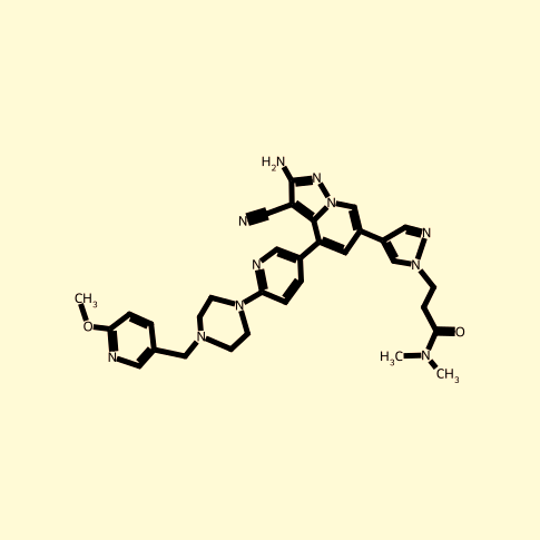 COc1ccc(CN2CCN(c3ccc(-c4cc(-c5cnn(CCC(=O)N(C)C)c5)cn5nc(N)c(C#N)c45)cn3)CC2)cn1